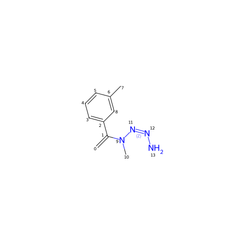 C=C(c1cccc(C)c1)N(C)/N=N\N